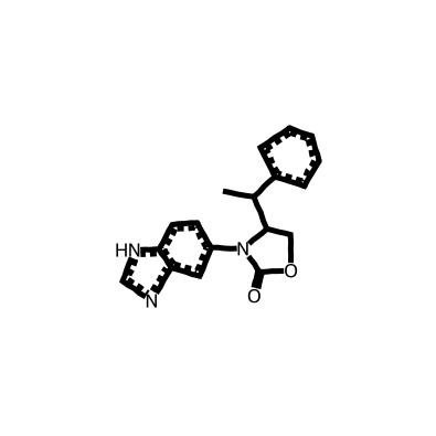 CC(c1ccccc1)C1COC(=O)N1c1ccc2[nH]cnc2c1